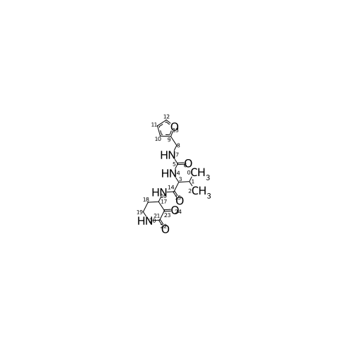 CC(C)C(NC(=O)NCc1ccco1)C(=O)NC1CCNC(=O)C1=O